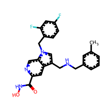 Cc1cccc(CNCc2cn(Cc3ccc(F)cc3F)c3cnc(C(=O)NO)cc23)c1